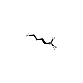 CC(C)CC/C=C/B(O)O